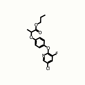 CCCOC(=O)C(C)Oc1ccc(Oc2ncc(Cl)cc2F)cc1